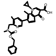 Cc1cc(-c2ccc3c(=O)c(C(=O)O)cn(C4CC4)c3c2C)cnc1CN(C)C(=O)OCc1ccccc1